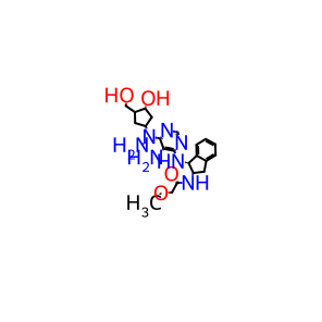 COCC(=O)NC1Cc2ccccc2[C@H]1Nc1ncnc(N(N)C2CC(CO)[C@H](O)C2)c1N